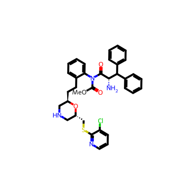 COC(=O)N(C(=O)[C@@H](N)C(c1ccccc1)c1ccccc1)c1ccccc1CC[C@@H]1CNC[C@@H](CSc2ncccc2Cl)O1